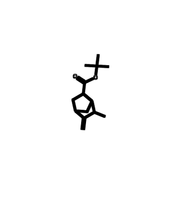 C=C1C2CC(C(=O)OC(C)(C)C)C(C2)C1C